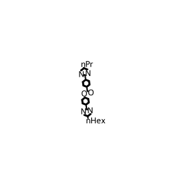 CCCCCCc1cnc(-c2ccc(OC(=O)c3ccc(-c4ncc(CCC)cn4)cc3)cc2)nc1